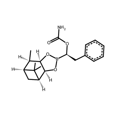 C[C@H]1[C@H]2OB([C@H](Cc3ccccc3)OC(N)=O)O[C@H]2[C@H]2C[C@@H]1C2(C)C